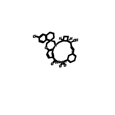 O=C1NS(=O)(=O)[C@H]2CCC[C@@H](/C=C/[C@H](O)[C@@H]3CC[C@H]3CN3C[C@@]4(CCCc5cc(Cl)ccc54)COc4ccc1cc43)C2